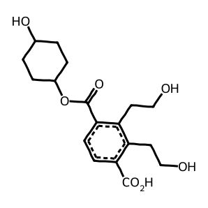 O=C(O)c1ccc(C(=O)OC2CCC(O)CC2)c(CCO)c1CCO